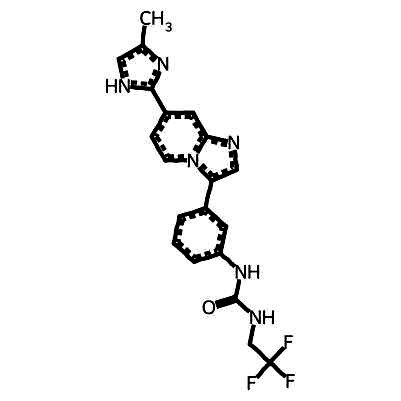 Cc1c[nH]c(-c2ccn3c(-c4cccc(NC(=O)NCC(F)(F)F)c4)cnc3c2)n1